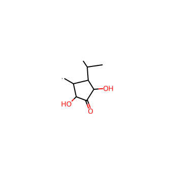 [CH2]C1C(O)C(=O)C(O)C1C(C)C